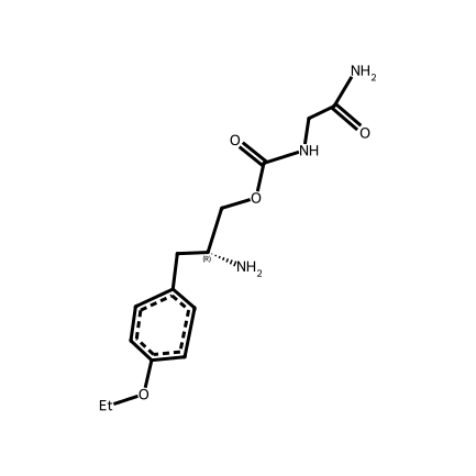 CCOc1ccc(C[C@@H](N)COC(=O)NCC(N)=O)cc1